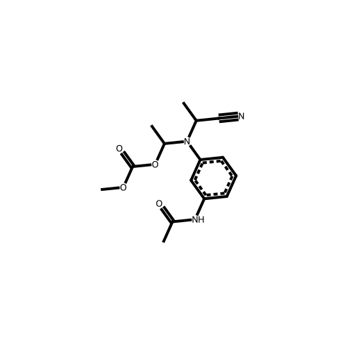 COC(=O)OC(C)N(c1cccc(NC(C)=O)c1)C(C)C#N